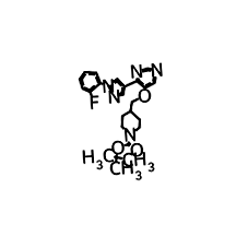 CC(C)(C)OC(=O)N1CCC(COc2cncnc2-c2cnn(-c3ccccc3F)c2)CC1